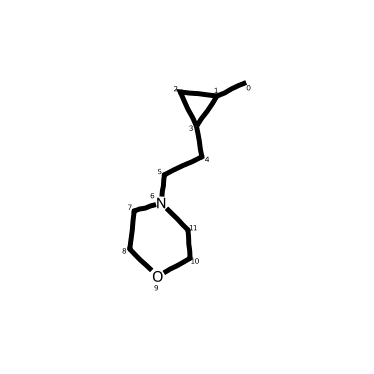 CC1CC1CCN1CCOCC1